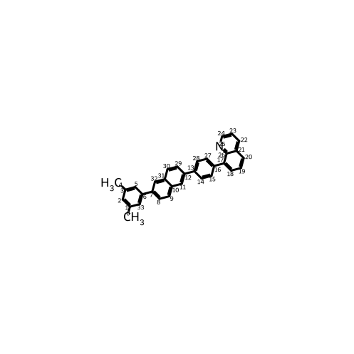 Cc1cc(C)cc(-c2ccc3cc(-c4ccc(-c5cccc6cccnc56)cc4)ccc3c2)c1